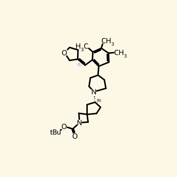 Cc1cc(C2CCN([C@@H]3CCC4(C3)CN(C(=O)OC(C)(C)C)C4)CC2)c(/C=C2\CCOC2)c(C)c1C